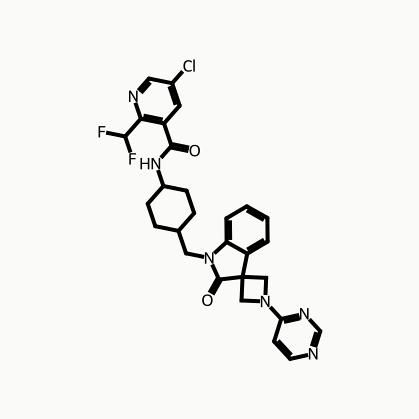 O=C(NC1CCC(CN2C(=O)C3(CN(c4ccncn4)C3)c3ccccc32)CC1)c1cc(Cl)cnc1C(F)F